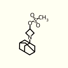 CS(=O)(=O)OC1CN(C23CC4CC(CC(C4)C2)C3)C1